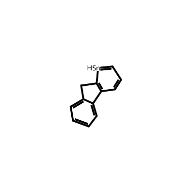 C1=CC2=[C](Cc3ccccc32)[SnH]=[CH]1